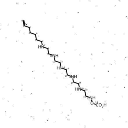 C=CCCCCCNCCNCCNCCNCCNCCNOC(=O)O